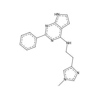 Cn1cnc(CCNc2nc(-c3ccccc3)nc3[nH]ccc23)c1